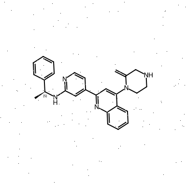 C=C1CNCCN1c1cc(-c2ccnc(N[C@@H](C)c3ccccc3)c2)nc2ccccc12